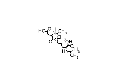 CC(C)NC(CCCOC(=O)C(CC(=O)O)NC(C)C)C(=O)O